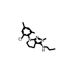 CCCNc1c2c(nn1C)N(c1c(C)cc(C)cc1Cl)CCC2